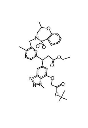 CCOC(=O)CC(c1ccc(C)c(CN2CC(C)Oc3ccccc3S2(=O)=O)c1)c1cc(OCC(=O)OC(C)(C)C)c2c(c1)nnn2C